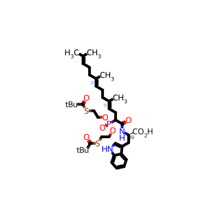 CC(C)=CCC/C(C)=C/CC/C(C)=C/CC(C(=O)N[C@@H](Cc1c[nH]c2ccccc12)C(=O)O)P(=O)(OCCSC(=O)C(C)(C)C)OCCSC(=O)C(C)(C)C